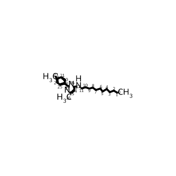 CCCCCCCCCCCCNc1cc(C)nc(-c2ccc(C)cc2)n1